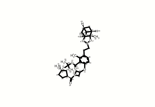 Cc1c(CCB2O[C@@H]3C[C@@H]4C[C@@H](C4(C)C)[C@]3(C)O2)ccc(OC2CN(C(=O)[C@H]3CC[C@H](N)C3)C2)c1C(=O)OC(C)(C)C